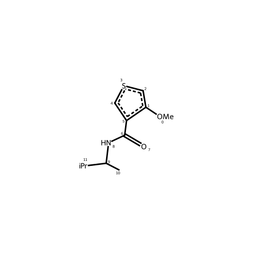 COc1cscc1C(=O)NC(C)C(C)C